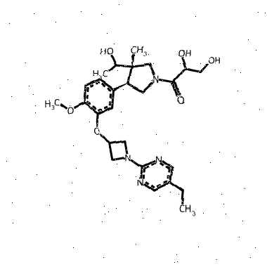 CCc1cnc(N2CC(Oc3cc([C@@H]4CN(C(=O)C(O)CO)C[C@@]4(C)C(C)O)ccc3OC)C2)nc1